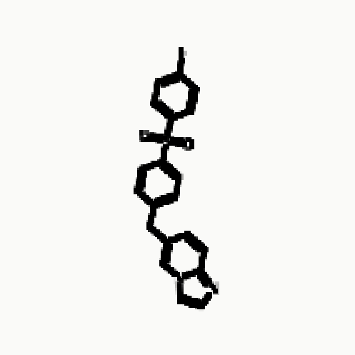 O=S(=O)(c1ccc(F)cc1)c1ccc(Cc2ccc3nccn3c2)cc1